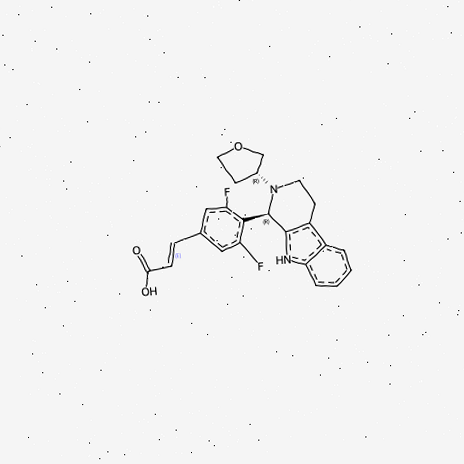 O=C(O)/C=C/c1cc(F)c([C@@H]2c3[nH]c4ccccc4c3CCN2[C@@H]2CCOC2)c(F)c1